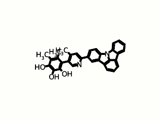 Cc1cc(-c2ccc3c(c2)c2cccc4c5ccccc5n3c42)ncc1-c1c(C)c(C)c(O)c(O)c1O